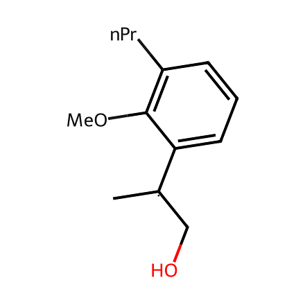 CCCc1cccc([C](C)CO)c1OC